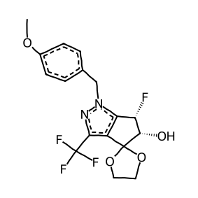 COc1ccc(Cn2nc(C(F)(F)F)c3c2[C@H](F)[C@H](O)C32OCCO2)cc1